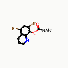 CNC(=O)Oc1c(Br)cc(Br)c2cccnc12